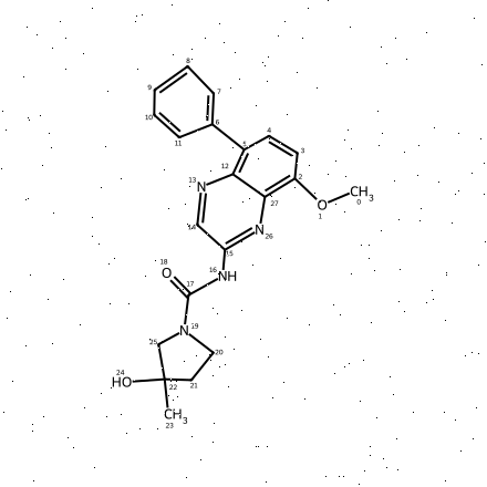 COc1ccc(-c2ccccc2)c2ncc(NC(=O)N3CCC(C)(O)C3)nc12